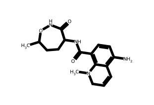 CC1CCC(NC(=O)c2ccc(N)c3c2N(C)CC=C3)C(=O)NO1